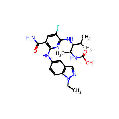 CCn1ncc2cc(Nc3nc(N[C@@H](C(C)C)[C@H](C)NC(=O)O)c(F)cc3C(N)=O)ccc21